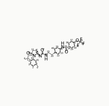 Cc1ccc(C(C)C)c(N2C(=O)CSC2=NC(=O)NCCc2ccc(NC(=O)c3ccc(OC(F)(F)F)cc3)cc2)c1